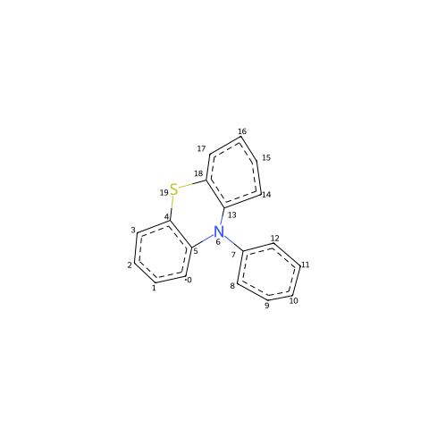 [c]1cccc2c1N(c1ccccc1)c1ccccc1S2